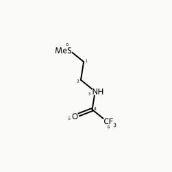 CSCCNC(=O)C(F)(F)F